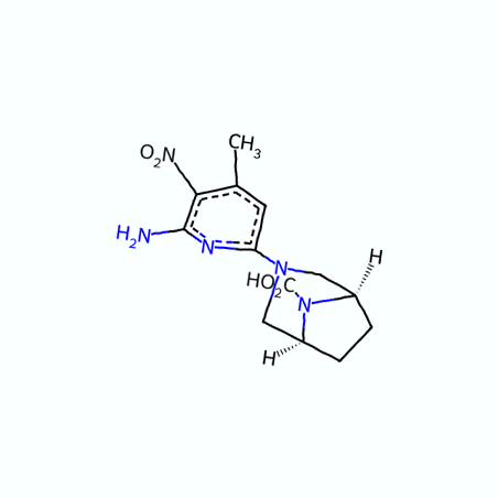 Cc1cc(N2C[C@H]3CC[C@@H](C2)N3C(=O)O)nc(N)c1[N+](=O)[O-]